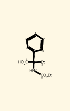 CCOC(=O)NC(CC)(C(=O)O)c1ccccc1